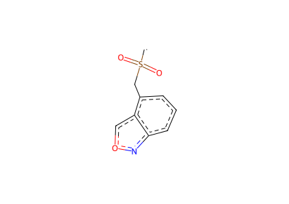 [CH2]S(=O)(=O)Cc1cccc2nocc12